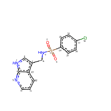 O=S(=O)(NCc1c[nH]c2ncccc12)c1ccc(Cl)cc1